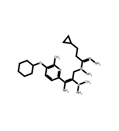 Cc1nc(/C(N)=C(\CN(N)/C(CCC2CC2)=N\N)N(C)N)ccc1OC1CCCCC1